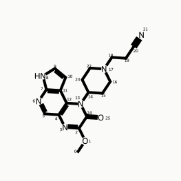 COc1nc2cnc3[nH]ccc3c2n(C2CCN(CCC#N)CC2)c1=O